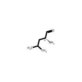 CC(C)C[C@@H](N)C=O